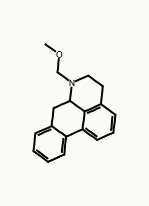 COCN1CCc2cccc3c2C1Cc1ccccc1-3